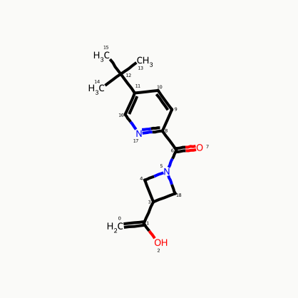 C=C(O)C1CN(C(=O)c2ccc(C(C)(C)C)cn2)C1